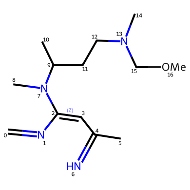 C=N/C(=C\C(C)=N)N(C)C(C)CCN(C)COC